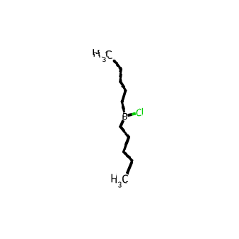 CCCCCB(Cl)CCCCC